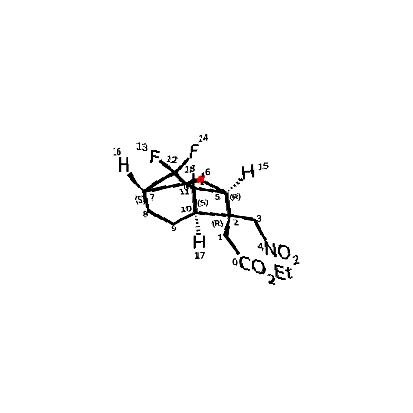 CCOC(=O)C[C@]1(C[N+](=O)[O-])[C@@H]2C[C@@H]3CC[C@H]1[C@H]2C3(F)F